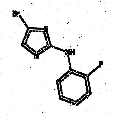 Fc1ccccc1Nc1ncc(Br)s1